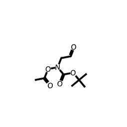 CC(=O)ON(CC=O)C(=O)OC(C)(C)C